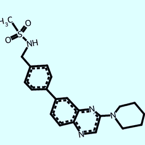 CS(=O)(=O)NCc1ccc(-c2ccc3ncc(N4CCCCC4)nc3c2)cc1